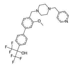 COc1cc(-c2ccc(C(O)(C(F)(F)F)C(F)(F)F)cc2)ccc1CN1CCN(Cc2ccncc2)CC1